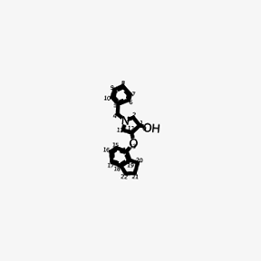 OC1CN(Cc2ccccc2)CC1Oc1cccc2c1CCC2